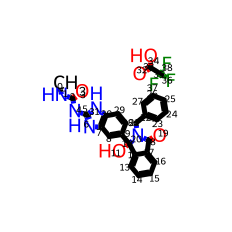 CNC(=O)Nc1nc2cc(C3(O)c4ccccc4C(=O)N3Cc3ccccc3)ccc2[nH]1.O=C(O)C(F)(F)F